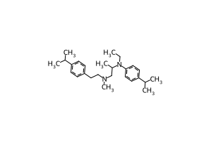 CCN(c1ccc(C(C)C)cc1)C(C)CN(C)CCc1ccc(C(C)C)cc1